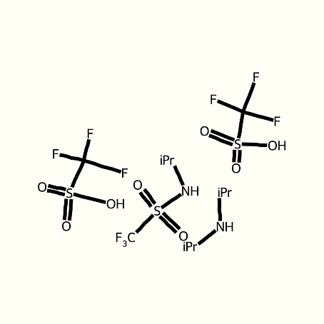 CC(C)NC(C)C.CC(C)NS(=O)(=O)C(F)(F)F.O=S(=O)(O)C(F)(F)F.O=S(=O)(O)C(F)(F)F